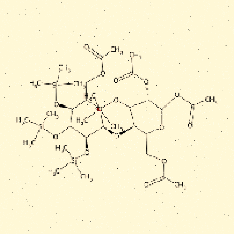 CC(=O)OCC1OC(OC(C)=O)[C@@H](OC(C)=O)C(O[Si](C)(C)C)[C@@H]1O[C@@H]1OC(COC(C)=O)[C@H](O[Si](C)(C)C)C(O[Si](C)(C)C)[C@@H]1O[Si](C)(C)C